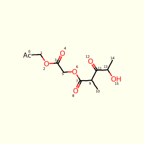 CC(=O)COC(=O)COC(=O)C(C)C(=O)C(C)O